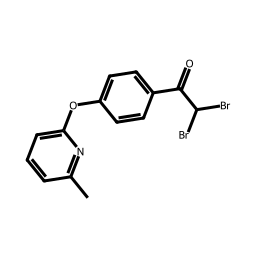 Cc1cccc(Oc2ccc(C(=O)C(Br)Br)cc2)n1